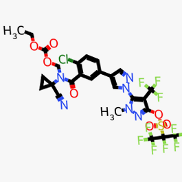 CCOC(=O)OCN(C(=O)c1cc(-c2cnn(-c3c(C(F)(F)F)c(OS(=O)(=O)C(F)(C(F)(F)F)C(F)(F)F)nn3C)c2)ccc1Cl)C1(C#N)CC1